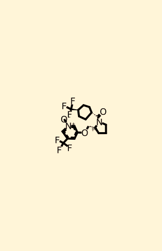 O=C([C@H]1CC[C@H](C(F)(F)F)CC1)N1CCC[C@@H]1COc1cc(C(F)(F)F)c[n+]([O-])c1